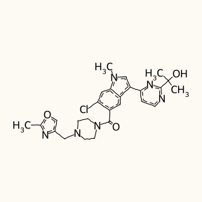 Cc1nc(CN2CCN(C(=O)c3cc4c(-c5ccnc(C(C)(C)O)n5)cn(C)c4cc3Cl)CC2)co1